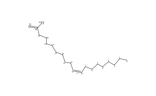 CCCCCCCC/C=C\CCCCCCCCC(=O)Cl